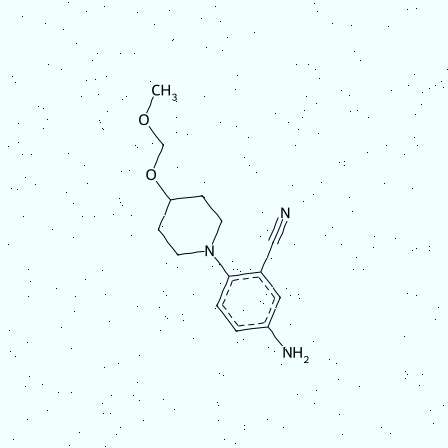 COCOC1CCN(c2ccc(N)cc2C#N)CC1